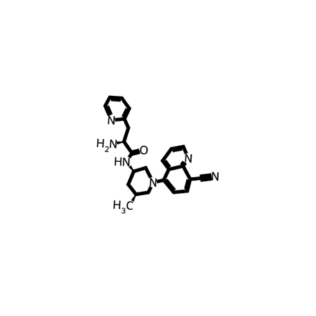 C[C@H]1C[C@@H](NC(=O)[C@@H](N)Cc2ccccn2)CN(c2ccc(C#N)c3ncccc23)C1